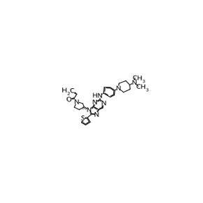 C=CC(=O)N1CC[C@H](n2c(-c3cccs3)nc3cnc(Nc4ccc(N5CCC(N(C)C)CC5)cc4)nc32)C1